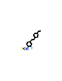 C=Cc1ccc(C=Cc2ccc(N=C=S)c(F)c2)cc1